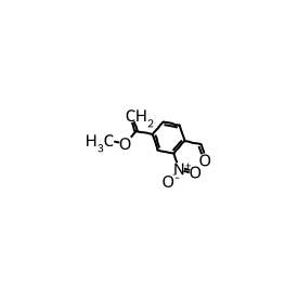 C=C(OC)c1ccc(C=O)c([N+](=O)[O-])c1